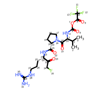 CC(C)[C@H](NC(=O)OC(=O)C(F)(F)F)C(=O)N1CCC[C@H]1C(=O)N[C@@H](CCCNC(=N)N)C(=O)CF